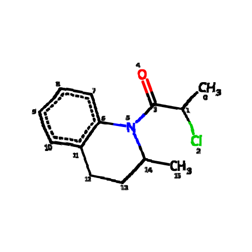 CC(Cl)C(=O)N1c2ccccc2CCC1C